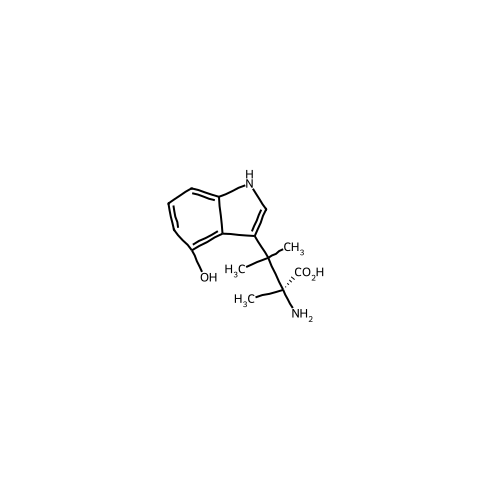 CC(C)(c1c[nH]c2cccc(O)c12)[C@](C)(N)C(=O)O